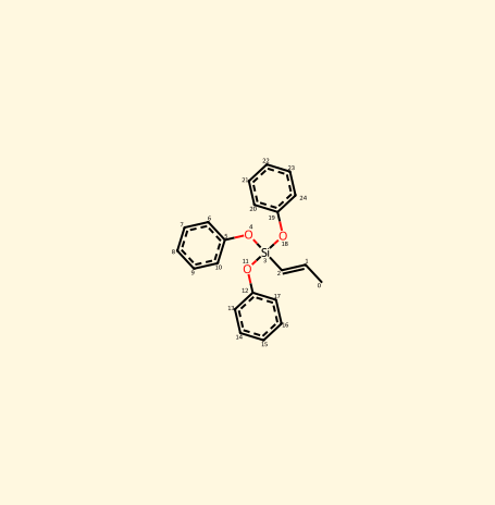 CC=C[Si](Oc1ccccc1)(Oc1ccccc1)Oc1ccccc1